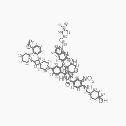 CC(C)Oc1ccccc1[C@@H]1CCCCN1C1CC2(CCN(c3ccc(C(=O)NS(=O)(=O)c4ccc(NCC5CCC(C)(O)CC5)c([N+](=O)[O-])c4)c(N4c5cc6ccn(COCC[Si](C)(C)C)c6nc5O[C@H]5COCC[C@@H]54)c3)CC2)C1